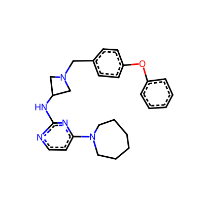 c1ccc(Oc2ccc(CN3CC(Nc4nccc(N5CCCCCC5)n4)C3)cc2)cc1